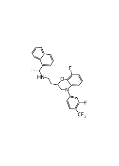 C[C@@H](NCCC1CN(c2ccc(C(F)(F)F)c(F)c2)c2cccc(F)c2O1)c1cccc2ccccc12